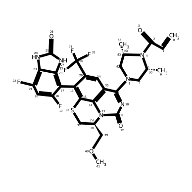 C=CC(=O)N1[C@H](C)CN(c2nc(=O)n3c4c(c(-c5c(F)cc(F)c6[nH]c(=O)[nH]c56)c(C(F)(F)F)cc24)SC[C@@H]3COC)C[C@@H]1C